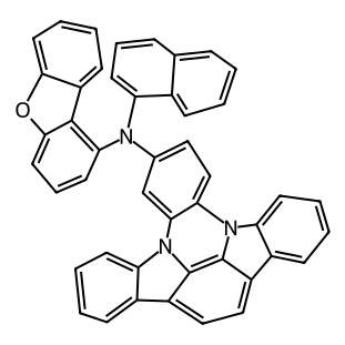 c1ccc2c(N(c3ccc4c(c3)n3c5ccccc5c5ccc6c7ccccc7n4c6c53)c3cccc4oc5ccccc5c34)cccc2c1